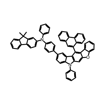 CC1(C)c2ccccc2-c2ccc(N(c3ccccc3)c3ccc(-c4ccc5c(c4)c4c(-c6cc7ccccc7c7ccccc67)c6c(cc4n5-c4ccccc4)oc4ccccc46)cc3)cc21